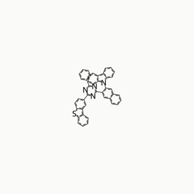 c1ccc(-c2nc(-c3ccc4sc5ccccc5c4c3)nc(-c3cc4ccccc4cc3-n3c4ccccc4c4ccccc43)n2)cc1